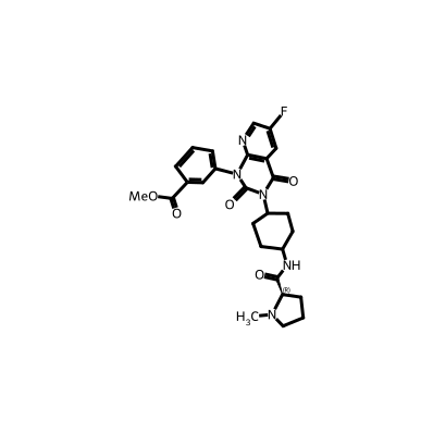 COC(=O)c1cccc(-n2c(=O)n(C3CCC(NC(=O)[C@H]4CCCN4C)CC3)c(=O)c3cc(F)cnc32)c1